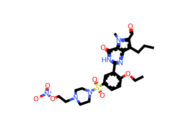 CCCc1c(C=O)n(C)c2c(=O)[nH]c(-c3cc(S(=O)(=O)N4CCN(CCO[N+](=O)[O-])CC4)ccc3OCC)nc12